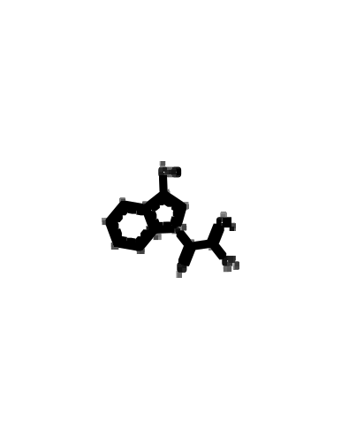 C=C(C(=O)n1cc(C=O)c2ccccc21)C(F)(F)F